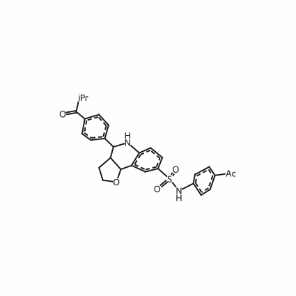 CC(=O)c1ccc(NS(=O)(=O)c2ccc3c(c2)C2OCCC2C(c2ccc(C(=O)C(C)C)cc2)N3)cc1